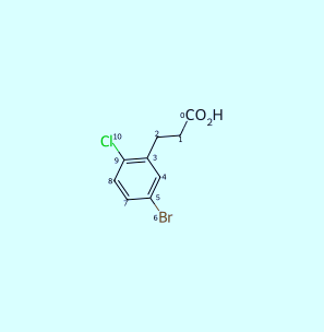 O=C(O)CCc1cc(Br)ccc1Cl